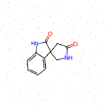 O=C1CC2(CN1)C(=O)Nc1ccccc12